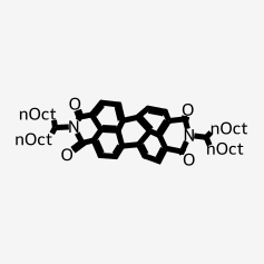 CCCCCCCCC(CCCCCCCC)N1C(=O)c2ccc3c4ccc5c6c(ccc(c7ccc(c2c37)C1=O)c64)C(=O)N(C(CCCCCCCC)CCCCCCCC)C5=O